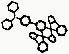 C1=CCCC(N(C2=CCCC=C2)c2ccc(-c3ccc4c(c3)C3(c5ccccc5-c5ccccc53)c3ccccc3C43C4=C(C=CCC4)c4ccccc43)cc2)=C1